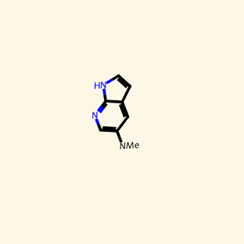 CNc1cnc2[nH]ccc2c1